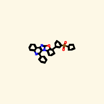 O=S(=O)(c1ccccc1)c1cccc(-c2cccc3c2oc2nc4c5ccccc5nc(-c5ccccc5)c4n23)c1